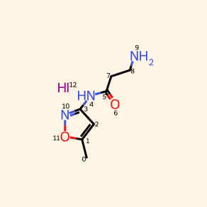 Cc1cc(NC(=O)CCN)no1.I